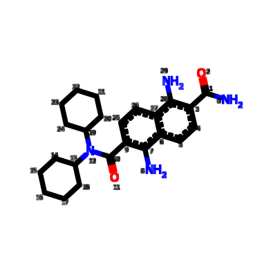 NC(=O)c1ccc2c(N)c(C(=O)N(C3CCCCC3)C3CCCCC3)ccc2c1N